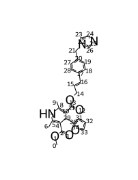 COC(=O)C1=C(C)NC(C)=C(C(=O)OCC=Cc2ccc(Cn3ccnc3)cc2)C1c1ccco1